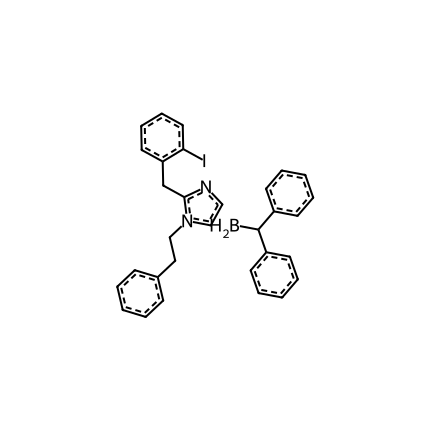 BC(c1ccccc1)c1ccccc1.Ic1ccccc1Cc1nccn1CCc1ccccc1